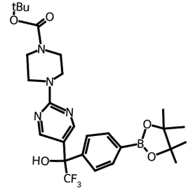 CC(C)(C)OC(=O)N1CCN(c2ncc(C(O)(c3ccc(B4OC(C)(C)C(C)(C)O4)cc3)C(F)(F)F)cn2)CC1